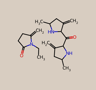 C=C1CC(C)NC1C(=O)C1NC(C)CC1=C.C=C1CCC(=O)N1CC